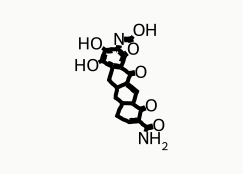 NC(=O)C1=CCC2CC3Cc4c(O)c(O)c5nc(O)oc5c4C(=O)C3=CC2C1=O